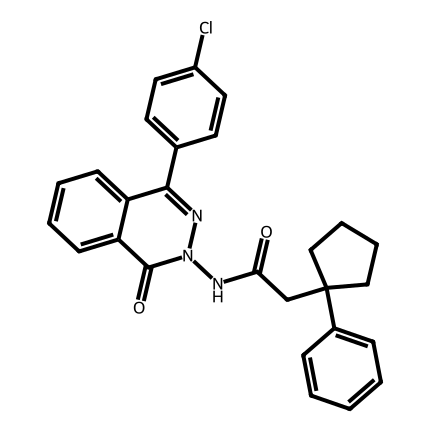 O=C(CC1(c2ccccc2)CCCC1)Nn1nc(-c2ccc(Cl)cc2)c2ccccc2c1=O